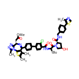 COC(=O)C[C@@H]1N=C(c2ccc(-c3ccc(C(=O)NC(C(=O)N4C[C@H](O)C[C@H]4C(=O)NCc4ccc(-c5scnc5C)cc4)C(C)(C)C)c(Cl)c3)cc2)c2c(sc(C)c2C)-n2c(C)nnc21